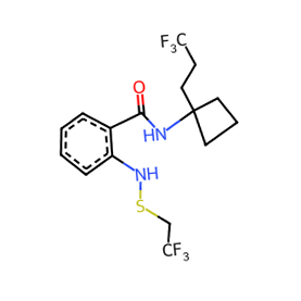 O=C(NC1(CCC(F)(F)F)CCC1)c1ccccc1NSCC(F)(F)F